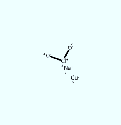 [Cu].[Na+].[O-][Cl+][O-]